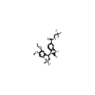 CCOc1nc(C(CS(C)(=O)=O)n2c(=O)[nH]c3cc(C(=O)OCC(F)(F)F)ccc32)ccc1OC